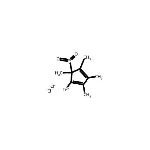 CC1=C(C)C(C)(P(=O)=O)[C]([Ti+2])=C1C.[Cl-].[Cl-]